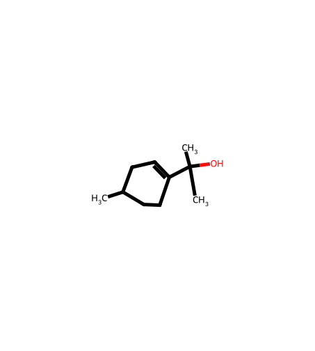 CC1CC=C(C(C)(C)O)CC1